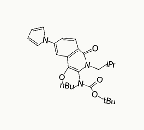 CCCCOc1c(N(C)C(=O)OC(C)(C)C)n(CC(C)C)c(=O)c2ccc(-n3cccc3)cc12